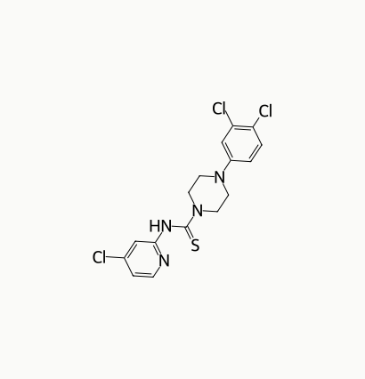 S=C(Nc1cc(Cl)ccn1)N1CCN(c2ccc(Cl)c(Cl)c2)CC1